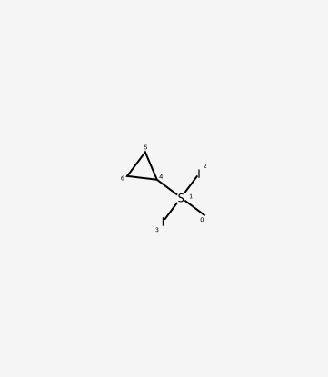 CS(I)(I)C1CC1